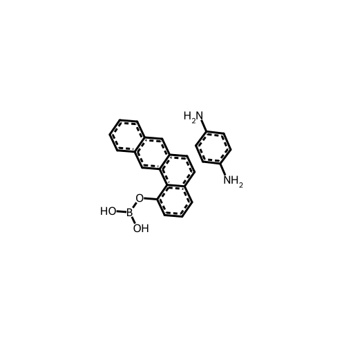 Nc1ccc(N)cc1.OB(O)Oc1cccc2ccc3cc4ccccc4cc3c12